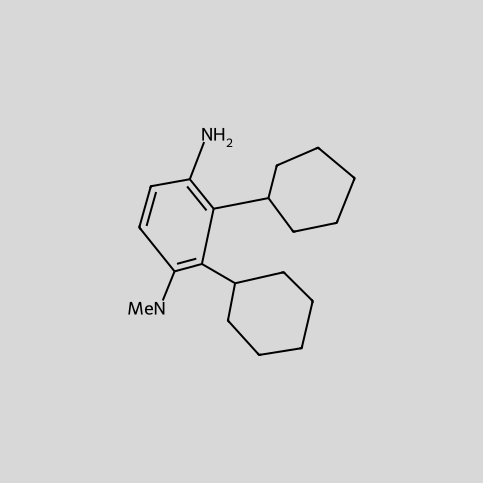 CNc1ccc(N)c(C2CCCCC2)c1C1CCCCC1